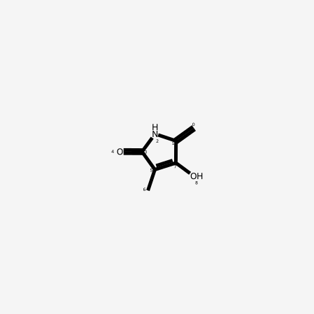 C=C1NC(=O)C(C)=C1O